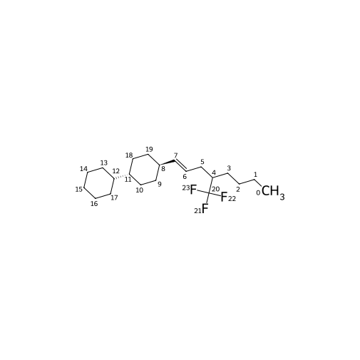 CCCCC(CC=C[C@H]1CC[C@H](C2CCCCC2)CC1)C(F)(F)F